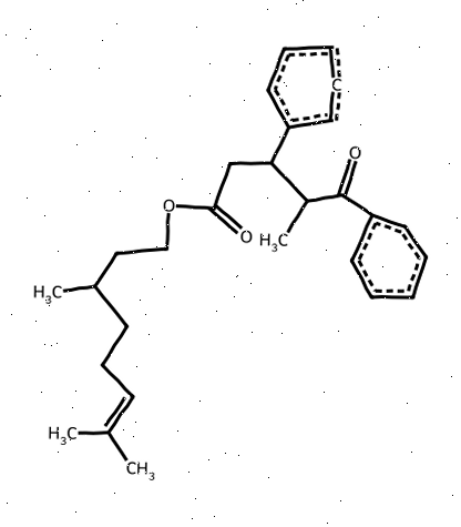 CC(C)=CCCC(C)CCOC(=O)CC(c1ccccc1)C(C)C(=O)c1ccccc1